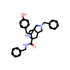 O=C(NCc1ccccc1)C12CC3CN(Cc4ccccc4)C(C3CN1)C2Cc1ccc(O)cc1